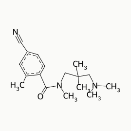 Cc1cc(C#N)ccc1C(=O)N(C)CC(C)(C)CN(C)C